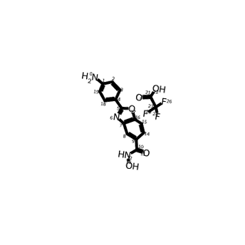 Nc1ccc(-c2nc3cc(C(=O)NO)ccc3o2)cc1.O=C(O)C(F)(F)F